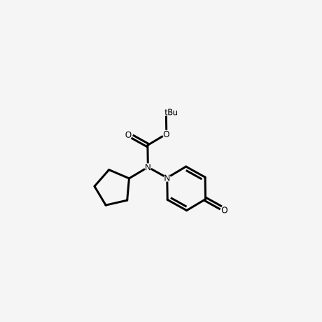 CC(C)(C)OC(=O)N(C1CCCC1)n1ccc(=O)cc1